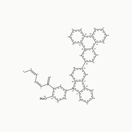 C=C(/C=C\C=C/C)c1cc(-n2c3ccccc3c3cc(-c4ccc5c6ccccc6c6ccccc6c5c4)ccc32)ccc1OC